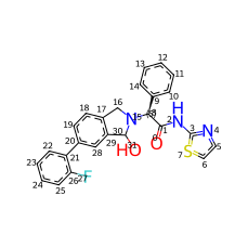 O=C(Nc1nccs1)[C@H](c1ccccc1)N1Cc2ccc(-c3ccccc3F)cc2C1O